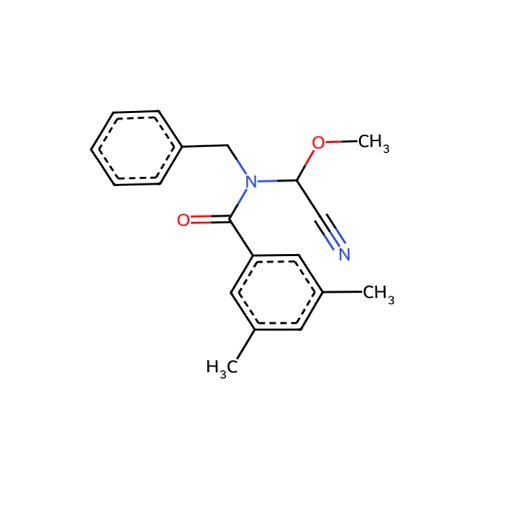 COC(C#N)N(Cc1ccccc1)C(=O)c1cc(C)cc(C)c1